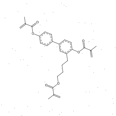 C=C(C)C(=O)OCCCCc1cc(-c2ccc(OC(=O)C(=C)C)cc2)ccc1OC(=O)C(=C)C